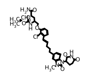 Cn1c(=O)n(C2CCC(=O)NC2=O)c2ccc(CCC/C=C/c3cccc(OCC(CCC(N)=O)NC(=O)OC(C)(C)C)c3Cl)cc21